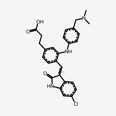 CN(C)Cc1ccc(Nc2cc(CCC(=O)O)ccc2/C=C2\C(=O)Nc3cc(Cl)ccc32)cc1